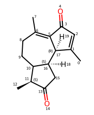 CC1=CC(=O)C2=C(C)CCC3[C@H](C)C(=O)C[C@@H]3[C@H]12